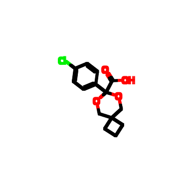 O=C(O)C1(c2ccc(Cl)cc2)OCC2(CCC2)CO1